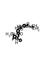 COc1cc(F)c2[nH]c(C3CCCC3)c(/C=C3\Oc4ccc(NC(=O)Nc5ccc(C(=O)NCCN(C)C)cc5)cc4C3=O)c2c1